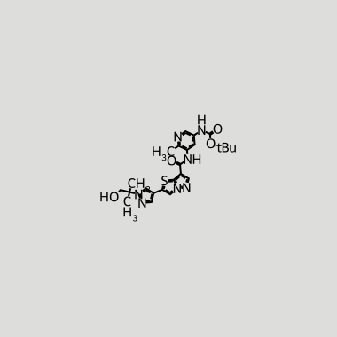 Cc1ncc(NC(=O)OC(C)(C)C)cc1NC(=O)c1cnn2cc(-c3cnn(C(C)(C)CO)c3)sc12